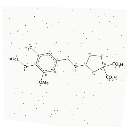 CCCCCCCCOc1c(C)cc(CNC2CCC(C(=O)O)(C(=O)O)C2)cc1OC